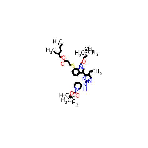 C=Cc1cnc(N[C@H]2CCCN(C(=O)OC(C)(C)C)C2)nc1-c1cn(COCC[Si](C)(C)C)c2c(SCCC(=O)OCC(CC)CCCC)cccc12